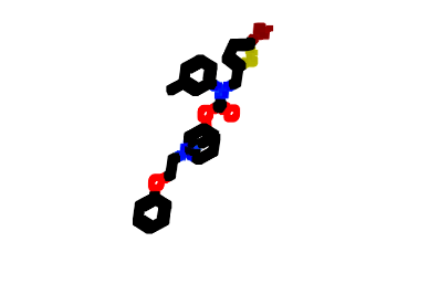 Cc1cccc(N(Cc2ccc(Br)s2)C(=O)OC2C[N+]3(CCOc4ccccc4)CCC2CC3)c1